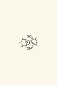 N#Cc1cccc(I)c1N1C2CCCC1(O)CC2